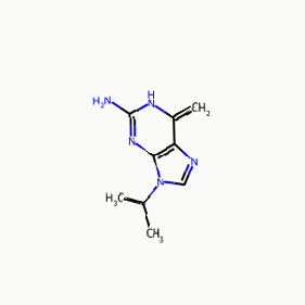 C=C1NC(N)=Nc2c1ncn2C(C)C